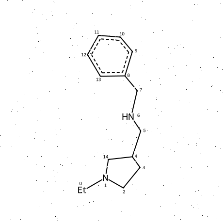 CCN1CCC(CNCc2ccccc2)C1